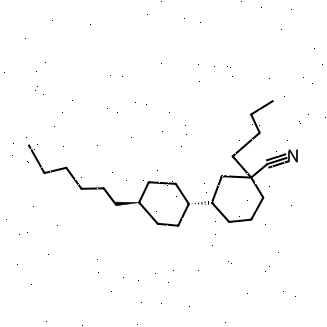 CCCCCC[C@H]1CC[C@H](C2CCCC(C#N)(CCCC)C2)CC1